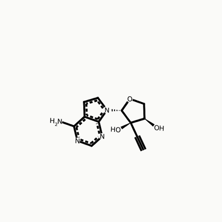 C#C[C@@]1(O)[C@H](O)CO[C@H]1n1ccc2c(N)ncnc21